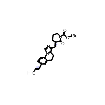 C/C=C/c1ccc2c(c1)CCc1c(/C=C3\CCCN(C(=O)OC(C)(C)C)C3=O)ncn1-2